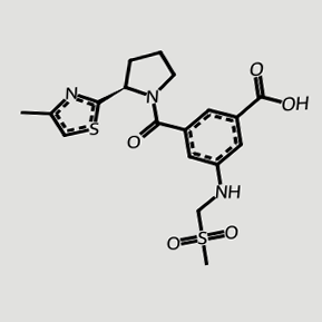 Cc1csc([C@H]2CCCN2C(=O)c2cc(NCS(C)(=O)=O)cc(C(=O)O)c2)n1